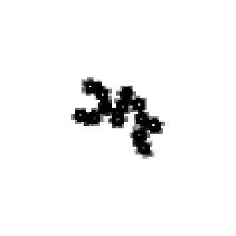 c1cc(-c2ccc3c(c2)c2ccccc2n3-c2ccc3sc4ccccc4c3c2)cc(-n2c3ccccc3c3cc4c(cc32)c2ccccc2n4-c2nc(-c3ccc4sc5ccccc5c4c3)nc(-c3ccc4sc5ccccc5c4c3)n2)c1